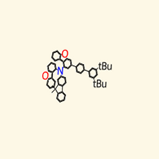 CC(C)(C)c1cc(-c2ccc(-c3cc(N(c4ccc5c(c4)C(C)(C)c4ccccc4-5)c4cccc5oc6ccccc6c45)c4c(c3)oc3ccccc34)cc2)cc(C(C)(C)C)c1